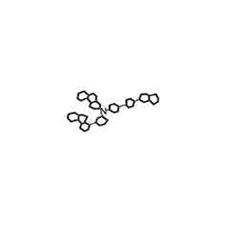 c1cc(-c2cccc3c2ccc2ccccc23)cc(N(c2ccc(-c3ccc(-c4ccc5ccccc5c4)cc3)cc2)c2ccc3c(ccc4ccccc43)c2)c1